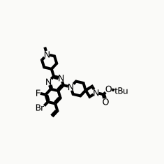 C=Cc1cc2c(N3CCC4(CC3)CN(C(=O)OC(C)(C)C)C4)nc(C3CCN(C)CC3)nc2c(F)c1Br